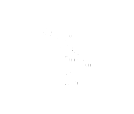 COc1cc([C@H](Nc2ccc(C#N)cc2)C(=O)NCCc2ccc(O)c(O)c2)ccc1OCc1ccccc1